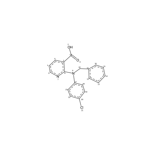 O=C(O)c1cccnc1N(Cc1ccccc1)c1ccc(Cl)cc1